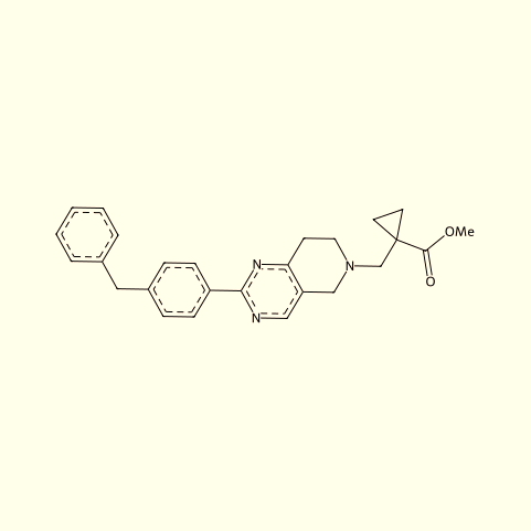 COC(=O)C1(CN2CCc3nc(-c4ccc(Cc5ccccc5)cc4)ncc3C2)CC1